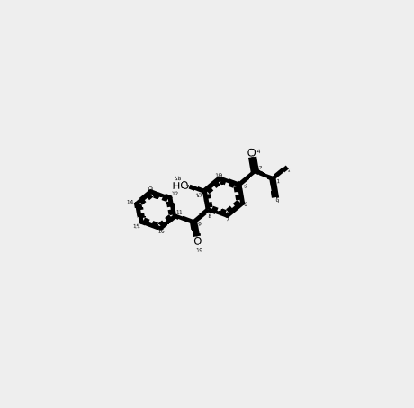 C=C(C)C(=O)c1ccc(C(=O)c2ccccc2)c(O)c1